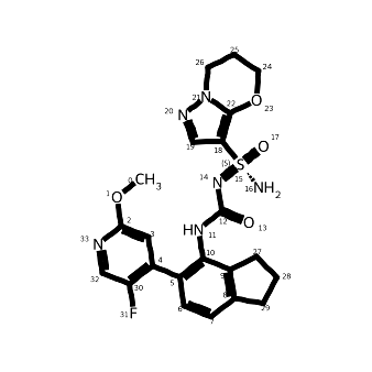 COc1cc(-c2ccc3c(c2NC(=O)N=[S@](N)(=O)c2cnn4c2OCCC4)CCC3)c(F)cn1